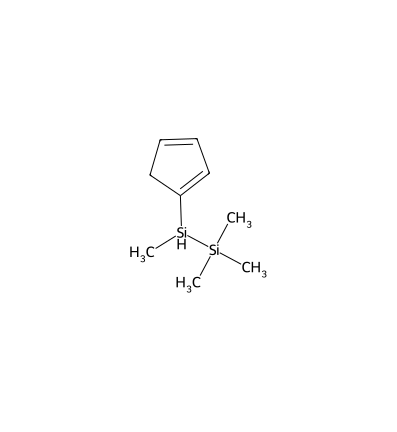 C[SiH](C1=CC=CC1)[Si](C)(C)C